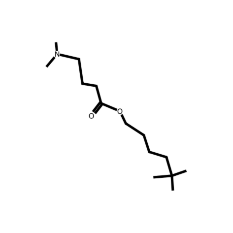 CN(C)CCCC(=O)OCCCCC(C)(C)C